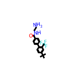 CC(C)(C)c1ccc(-c2ccc(C(=O)NCCN)cc2)c(C(F)(F)F)c1